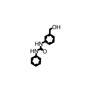 O=C(Nc1ccccc1)Nc1cccc(CO)c1